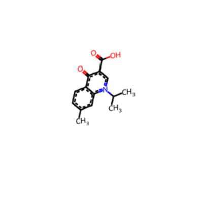 Cc1ccc2c(=O)c(C(=O)O)cn(C(C)C)c2c1